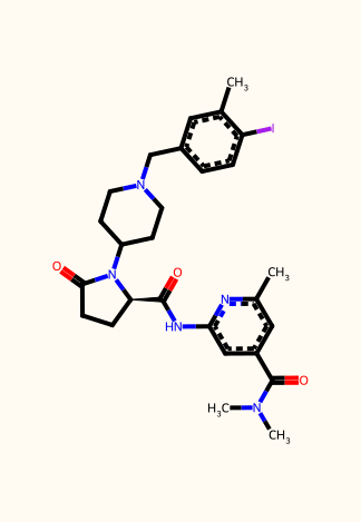 Cc1cc(C(=O)N(C)C)cc(NC(=O)[C@H]2CCC(=O)N2C2CCN(Cc3ccc(I)c(C)c3)CC2)n1